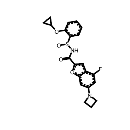 O=C(N[S+]([O-])c1ccccc1OC1CC1)c1cc2c(F)cc(N3CCC3)cc2o1